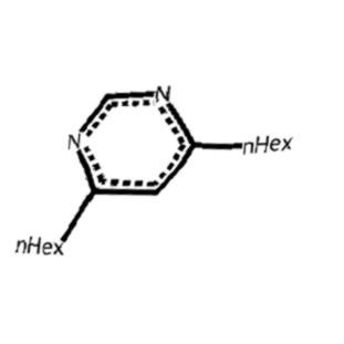 CCCCCCc1cc(CCCCCC)ncn1